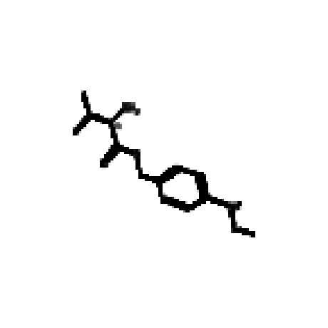 CSNc1ccc(COC(=O)[C@@H](N)C(C)C)cc1